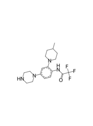 CC1CCN(c2cc(N3CCNCC3)ccc2NC(=O)C(F)(F)F)CC1